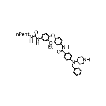 CCCCCNC(=O)Nc1ccc(Oc2ccc(NC(=O)c3ccc(N(Cc4ccccc4)C4CCNCC4)cc3)cc2)c(OCC)c1